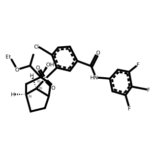 CCOC(C)[C@]1(O)CC2CC[C@@H](C1)[C@H]2S(=O)(=O)c1cc(C(=O)Nc2cc(F)c(F)c(F)c2)ccc1Cl